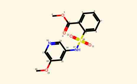 COC(=O)c1ccccc1S(=O)(=O)Nc1cncc(OC)c1